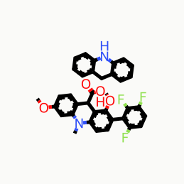 COc1ccc2c(c1)N(C)c1ccc(-c3c(F)ccc(F)c3F)c(OC)c1C2C(=O)O.c1ccc2c(c1)Cc1ccccc1N2